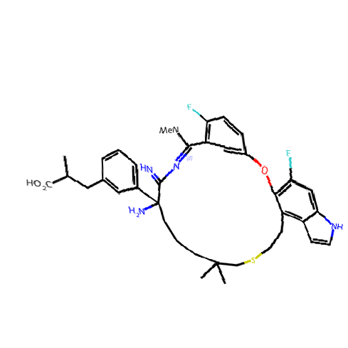 CN/C1=N\C(=N)C(N)(c2cccc(CC(C)C(=O)O)c2)CCCC(C)(C)CSCCc2c(c(F)cc3[nH]ccc23)Oc2ccc(F)c1c2